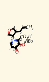 C=CCC1COCC1n1ccc(=O)c(OCCCC)c1C(=O)O